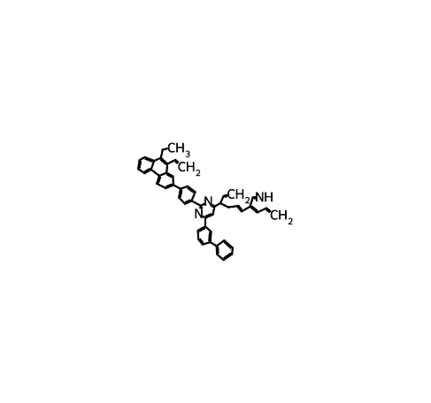 C=C/C=C(C=N)/C=C/CC(C=C)c1cc(-c2cccc(-c3ccccc3)c2)nc(-c2ccc(-c3ccc4c(c3)c(C=C)c(CC)c3ccccc34)cc2)n1